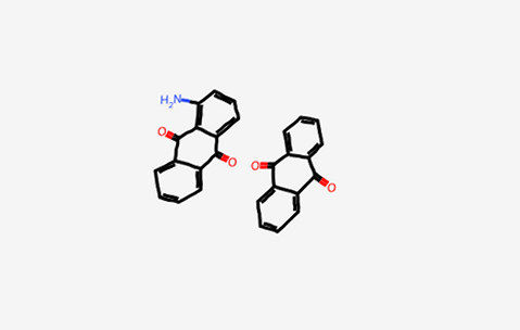 Nc1cccc2c1C(=O)c1ccccc1C2=O.O=C1c2ccccc2C(=O)c2ccccc21